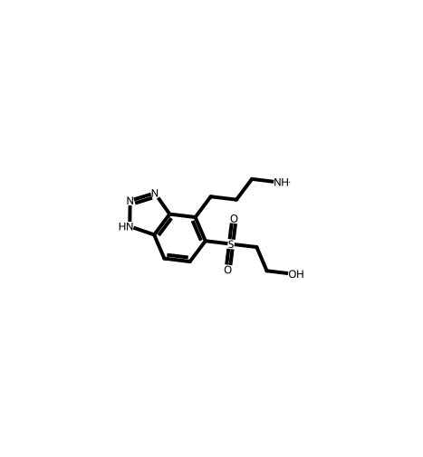 [NH]CCCc1c(S(=O)(=O)CCO)ccc2[nH]nnc12